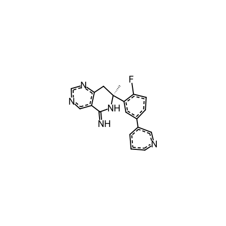 C[C@@]1(c2cc(-c3cccnc3)ccc2F)Cc2ncncc2C(=N)N1